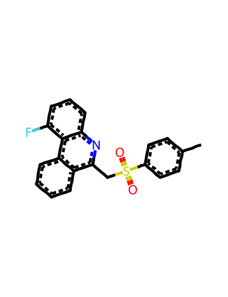 Cc1ccc(S(=O)(=O)Cc2nc3cccc(F)c3c3ccccc23)cc1